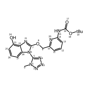 Cn1nnnc1-n1c(OCc2cccc(NC(=O)OC(C)(C)C)n2)nc2c(O)cccc21